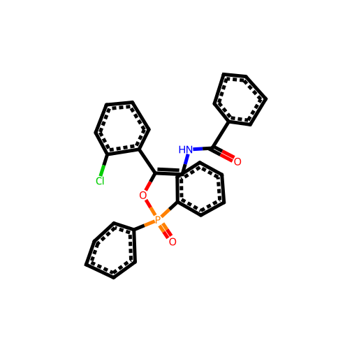 O=C(NC=C(OP(=O)(c1ccccc1)c1ccccc1)c1ccccc1Cl)c1ccccc1